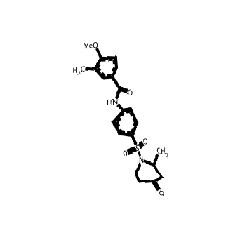 COc1ccc(C(=O)Nc2ccc(S(=O)(=O)N3CCC(=O)CC3C)cc2)cc1C